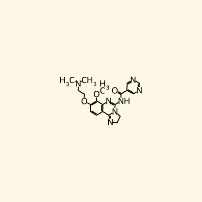 COc1c(OCCN(C)C)ccc2c1N=C(NC(=O)c1cncnc1)N1CCN=C21